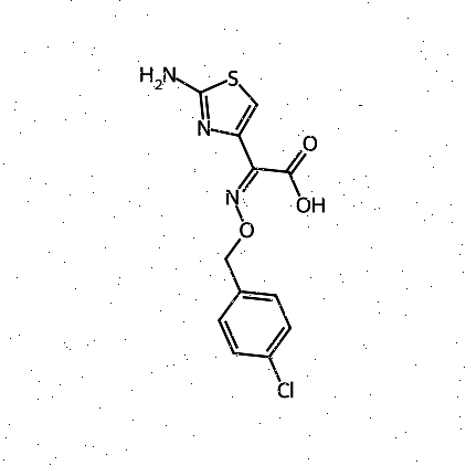 Nc1nc(C(=NOCc2ccc(Cl)cc2)C(=O)O)cs1